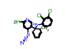 CC1C=CC=CC1(Nc1cccc(Cl)c1Cl)c1cnc(Br)cc1N=[N+]=[N-]